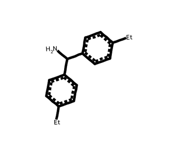 CCc1ccc(C(N)c2ccc(CC)cc2)cc1